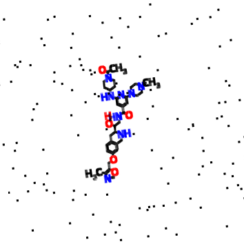 CC(=O)N1CCC(Nc2cc(C(=O)NCC(O)[C@@H]3Cc4ccc(OCc5ocnc5C)cc4CN3)cc(N3CCN(C)CC3)n2)CC1